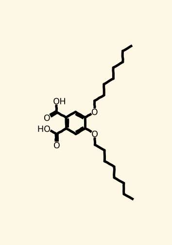 CCCCCCCCOc1cc(C(=O)O)c(C(=O)O)cc1OCCCCCCCC